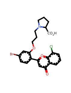 O=C(O)C1CCCN1CCCOc1cc(Br)ccc1-c1cc(=O)c2cccc(Cl)c2o1